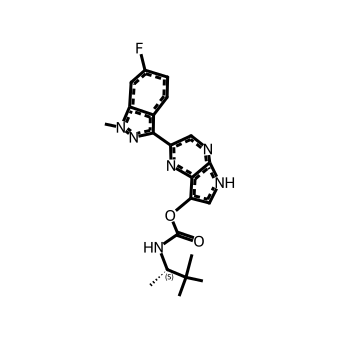 C[C@H](NC(=O)Oc1c[nH]c2ncc(-c3nn(C)c4cc(F)ccc34)nc12)C(C)(C)C